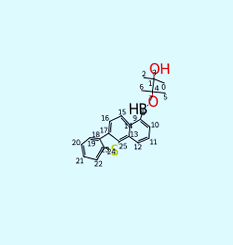 CC(C)(O)C(C)(C)OBc1cccc2c1ccc1c3ccccc3sc21